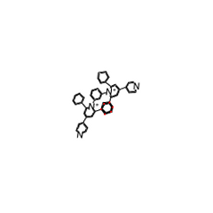 c1ccc(-c2cc(-c3ccncc3)cc(-c3ccccc3)[n+]2-c2cccc(-[n+]3c(-c4ccccc4)cc(-c4ccncc4)cc3-c3ccccc3)c2)cc1